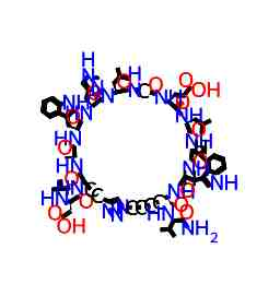 CC(C)C[C@@H]1NC(=O)[C@H](Cc2c[nH]cn2)NC(=O)[C@H](Cc2c[nH]c3ccccc23)NC(=O)[C@H](C)NC(=O)[C@@H](NC(=O)[C@H](CC(=O)O)NC(C)(C)C)CCc2cn(nn2)CCCC[C@@H](C(=O)N[C@H](C(N)=O)C(C)C)NC(=O)[C@@H]2Cc3c[nH]c4cccc(c34)C(C)[C@H](NC(=O)[C@H](CC(C)C)NC(=O)[C@H](CCC(=O)O)NC(=O)CNC1=O)C(=O)N2